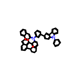 c1ccc(-n2c3ccccc3c3cc(-c4cccc(N(c5ccc6ccccc6c5)c5ccccc5-c5cccc6cccc(C7CCCCC7)c56)c4)ccc32)cc1